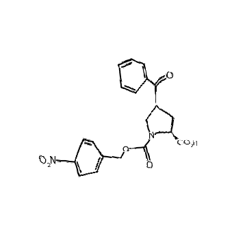 O=C(c1ccccc1)[C@H]1C[C@@H](C(=O)O)N(C(=O)OCc2ccc([N+](=O)[O-])cc2)C1